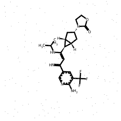 CC(C)N/C(=C\C(=N)c1cnc(N)c(C(F)(F)F)c1)[C@H]1[C@@H]2C[C@H](N3CCOC3=O)C[C@@H]21